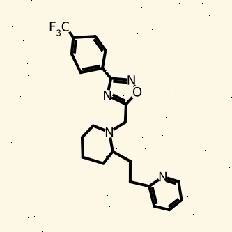 FC(F)(F)c1ccc(-c2noc(CN3CCCCC3CCc3ccccn3)n2)cc1